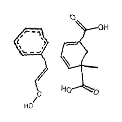 CC1(C(=O)O)C=CC=C(C(=O)O)C1.OOC=Cc1ccccc1